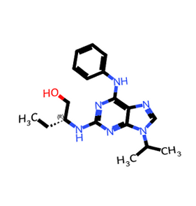 CC[C@H](CO)Nc1nc(Nc2ccccc2)c2ncn(C(C)C)c2n1